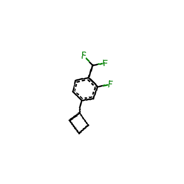 Fc1cc(C2CCC2)ccc1C(F)F